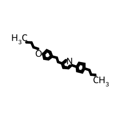 CCCCCOc1ccc(CCc2ccc(-c3ccc(CCCC)cc3)nc2)cc1